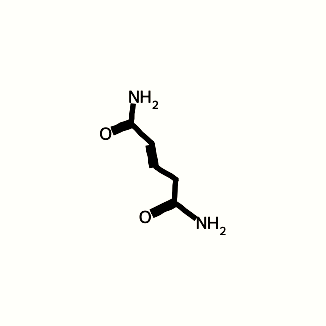 NC(=O)/C=C/CC(N)=O